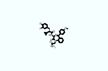 COc1ccc(C2=NC(NC(=O)[C@H](Cc3ccc(F)c(F)c3)C3CC3)C(=O)N(CC(N)=O)c3ccccc32)cc1